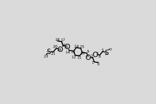 CCC(OCCSC)OCC1CCC(COC(CC)OCCSC)CC1